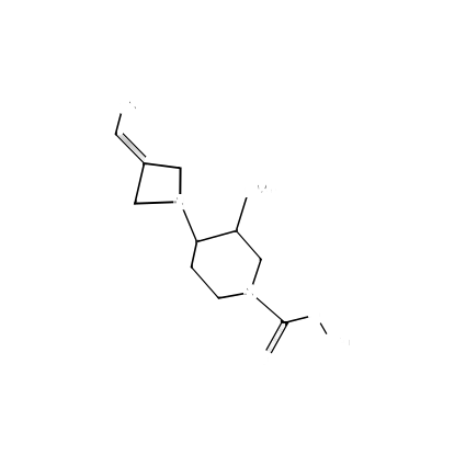 COC1CN(C(=O)OC(C)(C)C)CCC1N1CC(=CC#N)C1